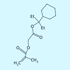 C=C(C)C(=O)OCC(=O)OC(CC)(CC)C1CCCCC1